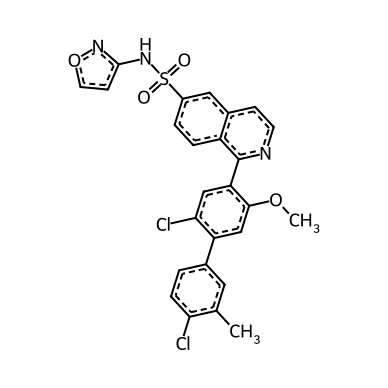 COc1cc(-c2ccc(Cl)c(C)c2)c(Cl)cc1-c1nccc2cc(S(=O)(=O)Nc3ccon3)ccc12